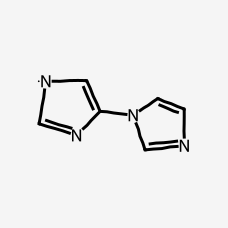 C1=NC(n2ccnc2)=C[N]1